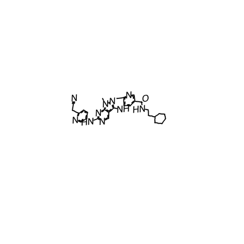 Cc1ncc(C(=O)NCCC2CCCCC2)cc1Nc1nn(C)c2nc(Nc3ccc(CC#N)nc3)ncc12